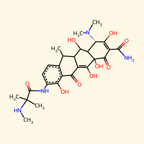 CNC(C)(C)C(=O)Nc1ccc2c(c1O)C(=O)C1=C(O)C3(O)C(=O)C(C(N)=O)=C(O)[C@@H](N(C)C)C3C(O)C1C2C